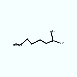 CCCCCCCCCCCN(CCC)CCC